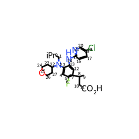 CC(C)CN(c1cc(F)c(C(C)CC(=O)O)cc1Nc1ccc(Cl)cn1)C1CCOCC1